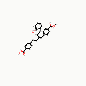 COC(=O)c1ccc(CCC(C=Cc2ccccc2O)Cc2ccc(C(=O)OC)cc2)cc1